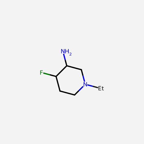 CCN1CCC(F)C(N)C1